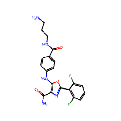 NCCCNC(=O)c1ccc(Nc2oc(-c3c(F)cccc3F)nc2C(N)=O)cc1